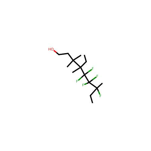 CCC(C)(F)C(F)(F)C(F)(F)C(C)(CC)C(C)(C)CCO